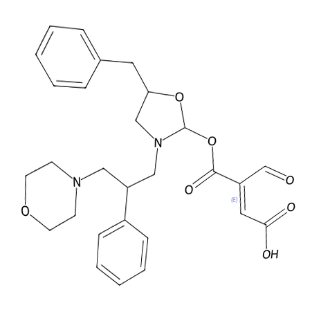 O=C/C(=C\C(=O)O)C(=O)OC1OC(Cc2ccccc2)CN1CC(CN1CCOCC1)c1ccccc1